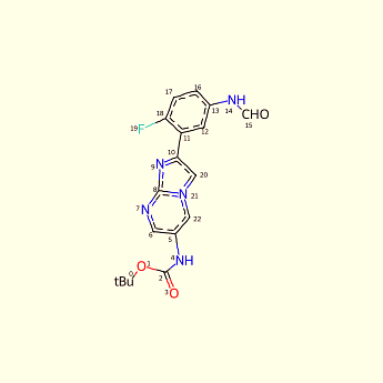 CC(C)(C)OC(=O)Nc1cnc2nc(-c3cc(NC=O)ccc3F)cn2c1